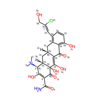 CN(C)[C@@H]1C(O)=C(C(N)=O)C(=O)[C@@]2(O)C(O)=C3C(=O)c4c(O)ccc(/C=C(\Cl)CO)c4C[C@H]3C[C@@H]12